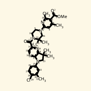 COC(=O)c1c(C)cc(N2CCN(C(=O)c3cnc4c(n3)C(C)(C)CN4c3ccc(Cl)c(C)c3)C(C)(C)C2)nc1C